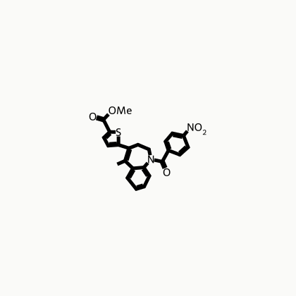 COC(=O)c1ccc(C2=C(C)c3ccccc3N(C(=O)c3ccc([N+](=O)[O-])cc3)CC2)s1